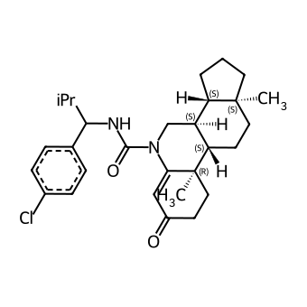 CC(C)C(NC(=O)N1C[C@H]2[C@@H]3CCC[C@@]3(C)CC[C@@H]2[C@@]2(C)CCC(=O)C=C12)c1ccc(Cl)cc1